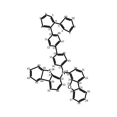 c1ccc(-c2ccccc2-c2ccc(-c3ccc(N(c4cccc5c4oc4ccccc45)c4cccc5c4sc4ccccc45)cc3)cc2)cc1